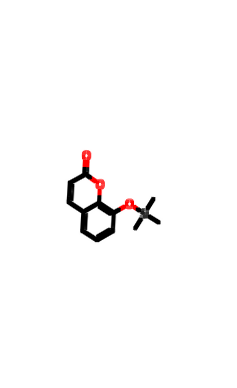 C[Si](C)(C)Oc1cccc2ccc(=O)oc12